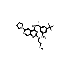 COCCOc1nc(N[C@H](C)c2cc(N)cc(C(F)(F)F)c2)c2cc(N3CCCC3)ncc2n1